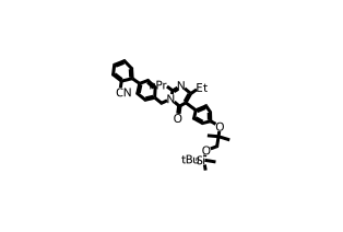 CCCc1nc(CC)c(-c2ccc(OC(C)(C)CO[Si](C)(C)C(C)(C)C)cc2)c(=O)n1Cc1ccc(-c2ccccc2C#N)cc1